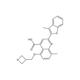 Cc1c(-c2cc(C(=O)O)c3c(OCC4COC4)ccc(C)c3n2)sc2ccccc12